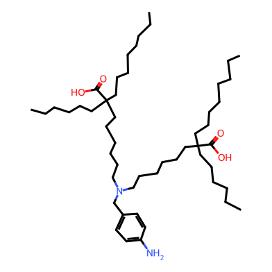 CCCCCCCCC(CCCCCC)(CCCCCCN(CCCCCCC(CCCCCC)(CCCCCCCC)C(=O)O)Cc1ccc(N)cc1)C(=O)O